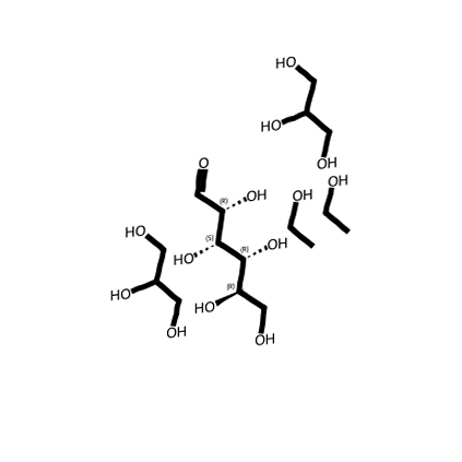 CCO.CCO.O=C[C@H](O)[C@@H](O)[C@H](O)[C@H](O)CO.OCC(O)CO.OCC(O)CO